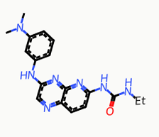 CCNC(=O)Nc1ccc2ncc(Nc3cccc(N(C)C)c3)nc2n1